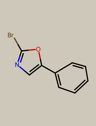 Brc1ncc(-c2ccccc2)o1